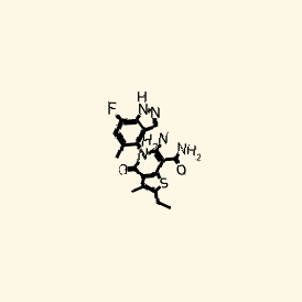 CCc1sc2c(C(N)=O)c(N)n(-c3c(C)cc(F)c4[nH]ncc34)c(=O)c2c1C